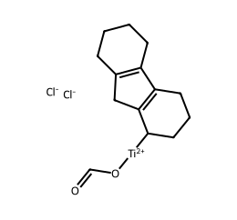 O=C[O][Ti+2][CH]1CCCC2=C1CC1=C2CCCC1.[Cl-].[Cl-]